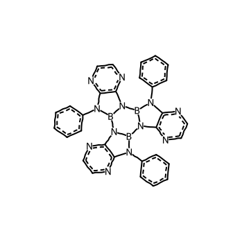 c1ccc(N2B3N(B4N(B5N3c3nccnc3N5c3ccccc3)c3nccnc3N4c3ccccc3)c3nccnc32)cc1